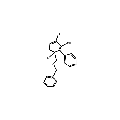 OC1=C(c2ccccc2)C(O)(COCc2ccccc2)CC=C1Cl